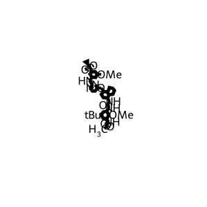 COc1cc(Nc2nccc(Oc3ccc(NC(=O)Nc4cc(C(C)(C)C)cc(NS(C)(=O)=O)c4OC)c4ccccc34)n2)cc(S(=O)(=O)C2CC2)c1